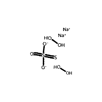 O=S([O-])([O-])=S.OO.OO.[Na+].[Na+]